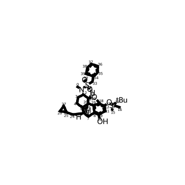 CN([C@H]1CC[C@H]2[C@H]3Cc4c(O)cc(O[Si](C)(C)C(C)(C)C)c5c4[C@@]2(CCN3CC2CC2)[C@H]1O5)S(=O)(=O)Cc1ccccc1